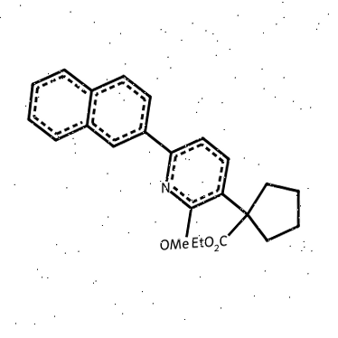 CCOC(=O)C1(c2ccc(-c3ccc4ccccc4c3)nc2OC)CCCC1